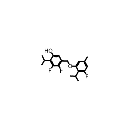 Cc1cc(F)c(C(C)C)c(OCc2cc(O)c(C(C)C)c(F)c2F)c1